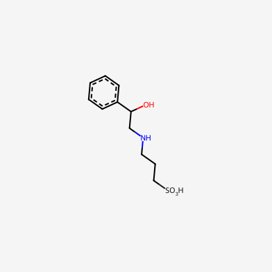 O=S(=O)(O)CCCNCC(O)c1ccccc1